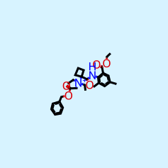 CCOC(=O)c1cc(C)cc(C)c1NC(=O)C1([N+](CC)(CC)CC(=O)OCc2ccccc2)CCC1